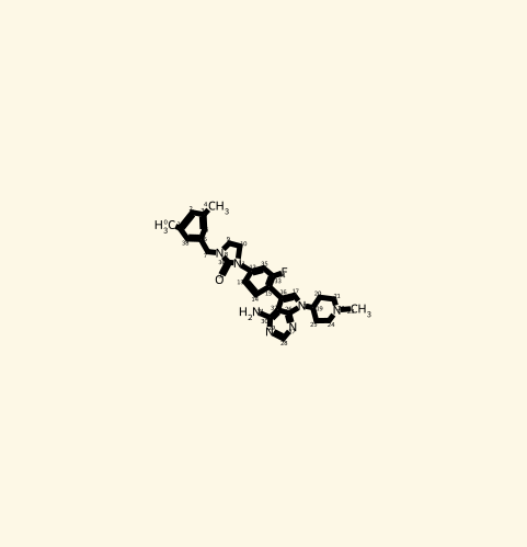 Cc1cc(C)cc(CN2CCN(c3ccc(-c4cn(C5CCN(C)CC5)c5ncnc(N)c45)c(F)c3)C2=O)c1